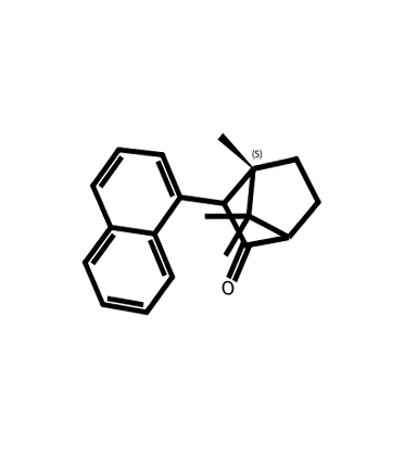 CC1(C)C2CC[C@@]1(C)C(c1cccc3ccccc13)C2=O